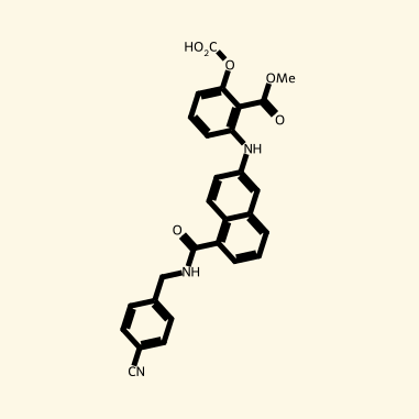 COC(=O)c1c(Nc2ccc3c(C(=O)NCc4ccc(C#N)cc4)cccc3c2)cccc1OC(=O)O